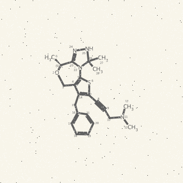 C[C@@H]1OCc2c(sc(C#CCN(C)C)c2Cc2ccccc2)N2C1=NNC2(C)C